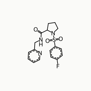 O=C(NCc1ccccn1)C1CCCN1S(=O)(=O)c1ccc(F)cc1